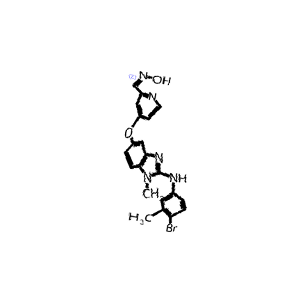 Cc1cc(Nc2nc3cc(Oc4ccnc(/C=N\O)c4)ccc3n2C)ccc1Br